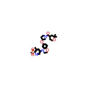 Cc1cc(N2CCOc3ccc(O[C@H]4CCN(C(=O)C5CCOC(C)(C)C5)C4)cc32)cnc1S(C)(=O)=O